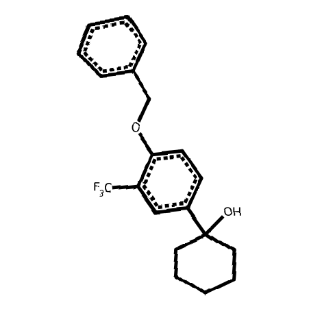 OC1(c2ccc(OCc3ccccc3)c(C(F)(F)F)c2)CC[CH]CC1